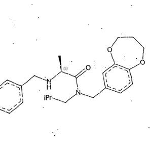 CC(C)CN(Cc1ccc2c(c1)OCCCO2)C(=O)[C@H](C)NCc1ccccc1